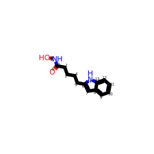 O=C(CCCCc1cc2ccccc2[nH]1)NO